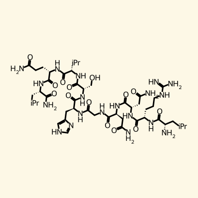 CC(C)C[C@H](NC(=O)[C@H](CCC(N)=O)NC(=O)[C@@H](NC(=O)[C@H](CO)NC(=O)[C@H](Cc1c[nH]cn1)NC(=O)CNC(=O)[C@H](CC(N)=O)NC(=O)[C@H](CC(N)=O)NC(=O)[C@H](CCCNC(=N)N)NC(=O)[C@@H](N)CC(C)C)C(C)C)C(N)=O